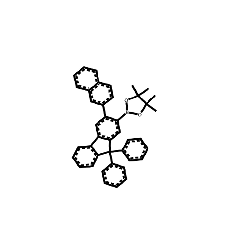 CC1(C)OB(c2cc3c(cc2-c2ccc4ccccc4c2)-c2ccccc2C3(c2ccccc2)c2ccccc2)OC1(C)C